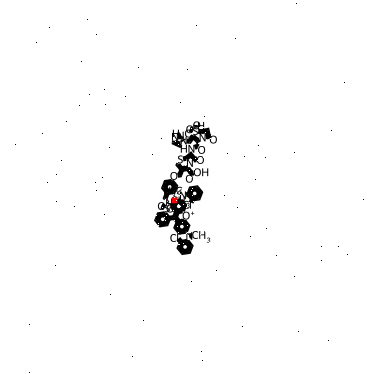 CN(c1ccc2c(-c3ccccc3S(=O)(=O)N(C)Cc3ccc(OCC4=C(C(=O)O)N5C(=O)[C@@H](NC(=O)[C@@H]6N7C(=O)C[C@H]7S(=O)(=O)[C@]6(C)Cn6ccnn6)C5SC4)cc3)c3ccc(N(C)c4ccccc4Cl)cc3[o+]c2c1)c1ccccc1Cl